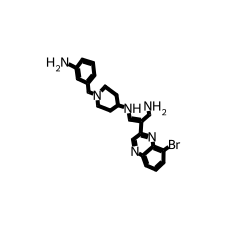 NC/C(=C\NC1CCN(Cc2cccc(N)c2)CC1)c1cnc2cccc(Br)c2n1